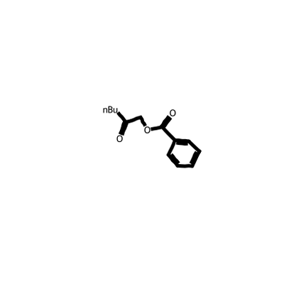 CCCCC(=O)COC(=O)c1ccccc1